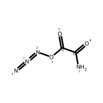 [N-]=[N+]=NOC(=O)C(N)=O